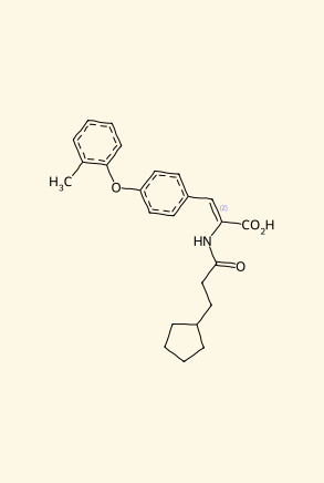 Cc1ccccc1Oc1ccc(/C=C(\NC(=O)CCC2CCCC2)C(=O)O)cc1